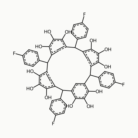 Oc1c2cc(c(O)c1O)C(c1ccc(F)cc1)c1cc(c(O)c(O)c1O)C(c1ccc(F)cc1)c1cc(c(O)c(O)c1O)C(c1ccc(F)cc1)c1cc(c(O)c(O)c1O)C2c1ccc(F)cc1